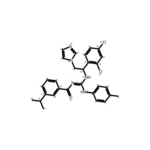 Cc1ccc(N/C(=N\C(=O)c2cccc(C(C)C)c2)NC(Cn2ccnc2)c2ccc(Cl)cc2Cl)cc1